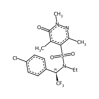 CCN([C@H](c1ccc(Cl)cc1)C(F)(F)F)S(=O)(=O)c1c(C)nn(C)c(=O)c1C